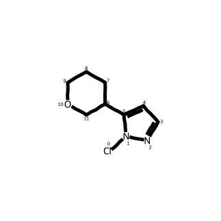 Cln1nc[c]c1C1CCCOC1